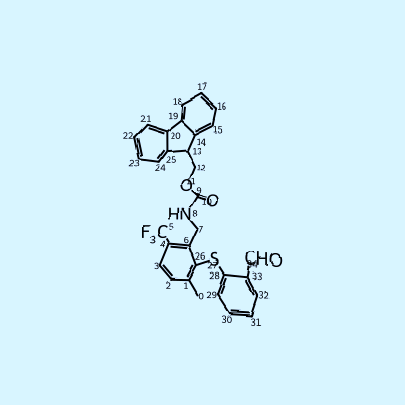 Cc1ccc(C(F)(F)F)c(CNC(=O)OCC2c3ccccc3-c3ccccc32)c1Sc1ccccc1C=O